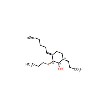 CCCCCCCCCCCCCC=C1CC[C@@H](CCC(=O)O)[C@@H](O)[C@H]1SCCC(=O)O